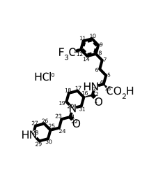 Cl.O=C(N[C@@H](CCCc1cccc(C(F)(F)F)c1)C(=O)O)[C@@H]1CCCN(C(=O)CCC2CCNCC2)C1